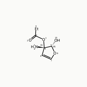 CCC(=O)O[C@@]1(N)C=CO[C@H]1O